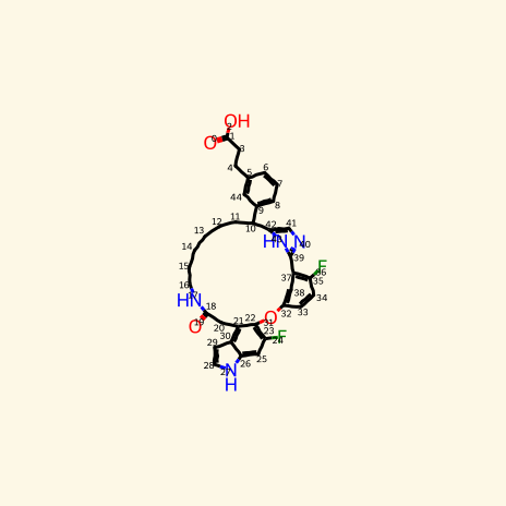 O=C(O)CCc1cccc(C2CCCCCCNC(=O)Cc3c(c(F)cc4[nH]ccc34)Oc3ccc(F)c(c3)-c3ncc2[nH]3)c1